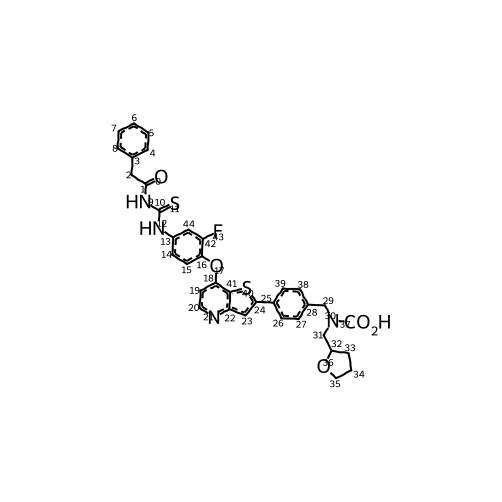 O=C(Cc1ccccc1)NC(=S)Nc1ccc(Oc2ccnc3cc(-c4ccc(CN(CC5CCCO5)C(=O)O)cc4)sc23)c(F)c1